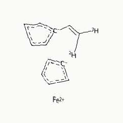 [2H]C([2H])=C[c-]1cccc1.[Fe+2].c1cc[cH-]c1